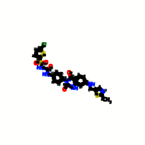 Cc1ncc(CNc2ccc3c(=O)n(-c4ccc(NC(=O)NS(=O)(=O)c5ccc(Cl)s5)cc4)c(=O)[nH]c3c2)s1